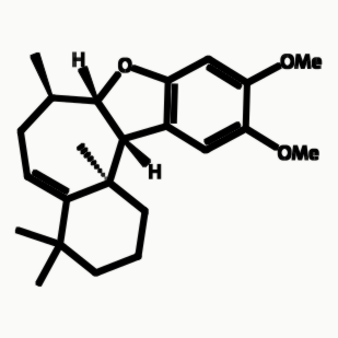 COc1cc2c(cc1OC)[C@H]1[C@@H](O2)[C@H](C)CC=C2C(C)(C)CCC[C@@]21C